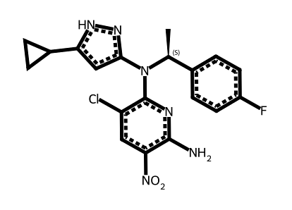 C[C@@H](c1ccc(F)cc1)N(c1cc(C2CC2)[nH]n1)c1nc(N)c([N+](=O)[O-])cc1Cl